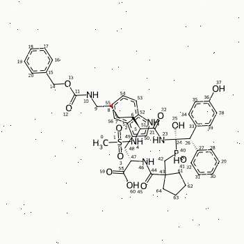 CS(=O)(=O)N[C@@H](CCCCNC(=O)OCc1ccccc1)C(=O)N[C@@](O)([C@@H](c1ccccc1)c1ccc(O)cc1)[PH](=O)CC1(C(=O)N[C@@H](Cc2c[nH]c3ccccc23)C(=O)O)CCCC1